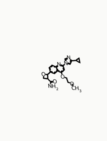 COCCOc1cc(-n2cnc(C3CC3)c2)nc2ccc(C3OCC3C(N)=O)cc12